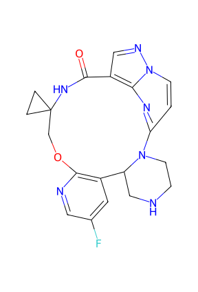 O=C1NC2(CC2)COc2ncc(F)cc2C2CNCCN2c2ccn3ncc1c3n2